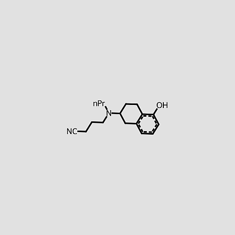 CCCN(CCCC#N)C1CCc2c(O)cccc2C1